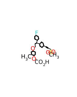 Cc1cc(OCC=C(c2ccc(F)cc2)c2ccc(C#CCS(C)(=O)=O)cc2)ccc1OCC(=O)O